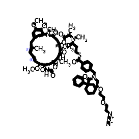 COc1cc2cc(c1Cl)N(C)C(=O)C[C@@H](OC(=O)[C@@H](C)N(C)C(=O)CCSC(=O)c1ccc(CN(CCOCCOCCN=[N+]=[N-])C(=O)C3(c4ccccc4)CCCCC3)cc1)[C@@]1(C)O[C@@H]1[C@@H](C)[C@H]1C[C@](O)(NC(=O)O1)[C@@H](OC)/C=C/C=C(\C)C2